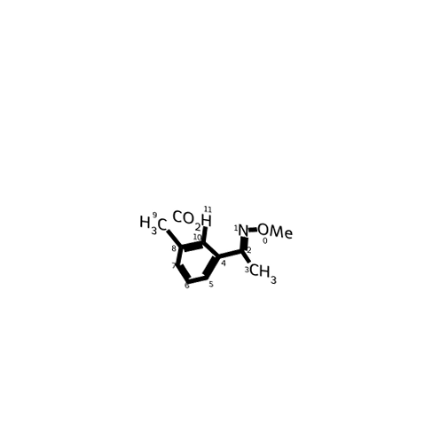 CON=C(C)c1cccc(C)c1C(=O)O